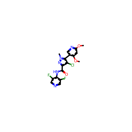 COc1cc(OC)c(-c2c(Cl)c(C(=O)Nc3c(F)cncc3F)nn2C)cn1